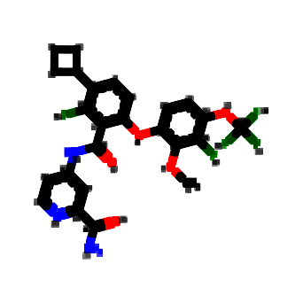 COc1c(Oc2ccc(C3CCC3)c(F)c2C(=O)Nc2ccnc(C(N)=O)c2)ccc(OC(F)(F)F)c1F